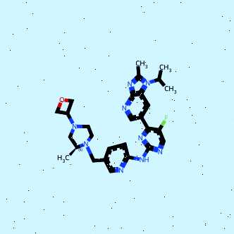 Cc1nc2ncc(-c3nc(Nc4ccc(CN5CCN(C6COC6)C[C@@H]5C)cn4)ncc3F)cc2n1C(C)C